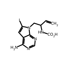 C=CC(Cn1c(I)cc2c(N)ncnc21)NC(=O)O